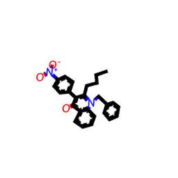 CCCCc1c(-c2ccc([N+](=O)[O-])cc2)c(=O)c2ccccc2n1Cc1ccccc1